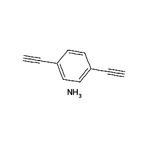 C#Cc1ccc(C#C)cc1.N